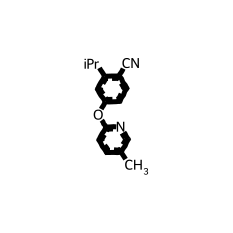 Cc1ccc(Oc2ccc(C#N)c(C(C)C)c2)nc1